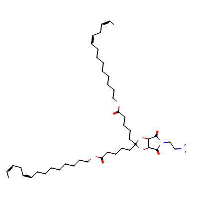 CCCCC/C=C\C/C=C\CCCCCCCCOC(=O)CCCCC1(CCCCC(=O)OCCCCCCCC/C=C\C/C=C\CCCCC)OC2C(=O)N(CCN(C)C)C(=O)C2O1